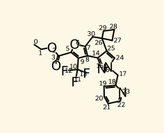 CCOC(=O)c1oc2c(c1C(F)(F)F)-c1nn(Cc3ccccn3)cc1C1(CCC1)C2